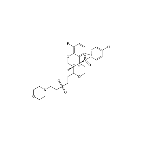 O=S(=O)(CCC1OCC[C@@]2(S(=O)(=O)c3ccc(Cl)cc3)c3c(F)ccc(F)c3OC[C@@H]12)CCN1CCOCC1